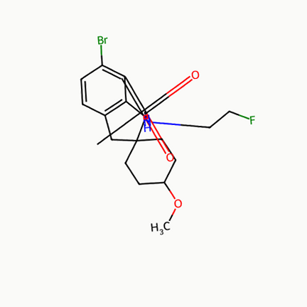 COC1CCC2(CC1)Cc1ccc(Br)cc1C21NC(=O)N(CCF)C1=O